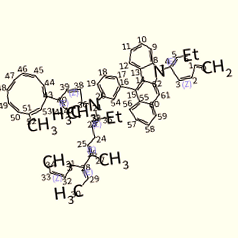 C=C/C=C\C(=C/CC)n1c2ccccc2c2c(-c3cccc(N(/C(=C/C/C=C(C)/C(=C/C)C/C=C\C)CC)C(C)/C=C\C(=C/C)c4cccccccc(C)c4)c3)c3ccccc3cc21